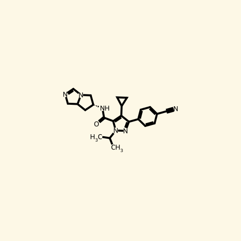 CC(C)n1nc(-c2ccc(C#N)cc2)c(C2CC2)c1C(=O)N[C@@H]1CC2CN=CN2C1